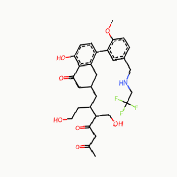 COc1ccc(CNCC(F)(F)F)cc1-c1ccc(O)c2c1CC(CC(CCO)C(CO)C(=O)CC(C)=O)CC2=O